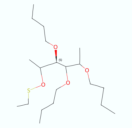 CCCCOC(C)C(OCCCC)[C@H](OCCCC)C(C)OSCC